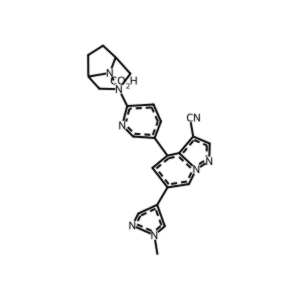 Cn1cc(-c2cc(-c3ccc(N4CC5CCC(C4)N5C(=O)O)nc3)c3c(C#N)cnn3c2)cn1